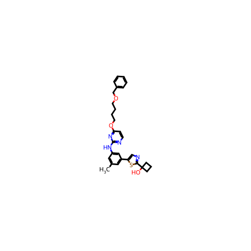 Cc1cc(Nc2nccc(OCCCCOCc3ccccc3)n2)cc(-c2cnc(C3(O)CCC3)s2)c1